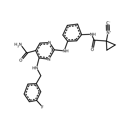 [C-]#[N+]C1(C(=O)Nc2cccc(Nc3ncc(C(N)=O)c(NCc4cccc(F)c4)n3)c2)CC1